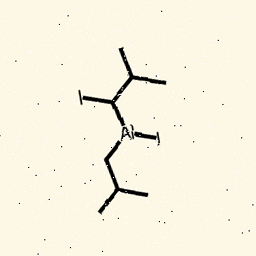 CC(C)[CH2][Al]([I])[CH](I)C(C)C